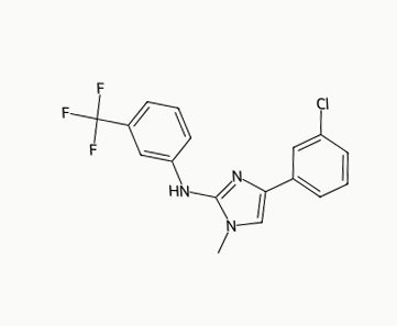 Cn1cc(-c2cccc(Cl)c2)nc1Nc1cccc(C(F)(F)F)c1